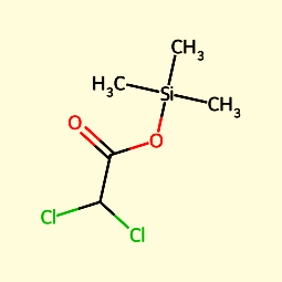 C[Si](C)(C)OC(=O)C(Cl)Cl